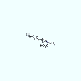 CCOCCOCCN/N=C(/C)C(=O)O